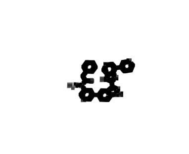 NN(C(=O)Cc1ccccc1)c1cncc(-c2ccc3[nH]nc(-c4nc5c(-c6cccnc6)cncc5[nH]4)c3c2)c1